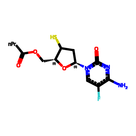 CCCC(=O)OC[C@H]1O[C@@H](n2cc(F)c(N)nc2=O)CC1S